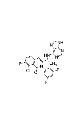 C[C@@H](Nc1ncnc2[nH]cnc12)c1nc2ccc(F)c(Cl)c2c(=O)n1-c1cc(F)cc(F)c1